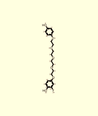 Oc1ccc(OCCOCCOCCOCCOc2ccc(O)c(F)c2)cc1